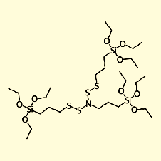 CCO[Si](CCCSSN(CCC[Si](OCC)(OCC)OCC)SSCCC[Si](OCC)(OCC)OCC)(OCC)OCC